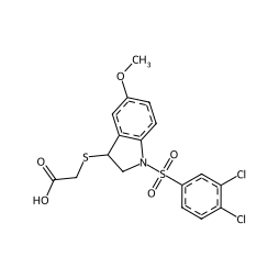 COc1ccc2c(c1)C(SCC(=O)O)CN2S(=O)(=O)c1ccc(Cl)c(Cl)c1